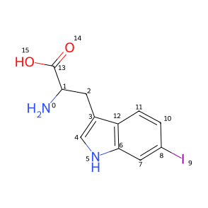 NC(Cc1c[nH]c2cc(I)ccc12)C(=O)O